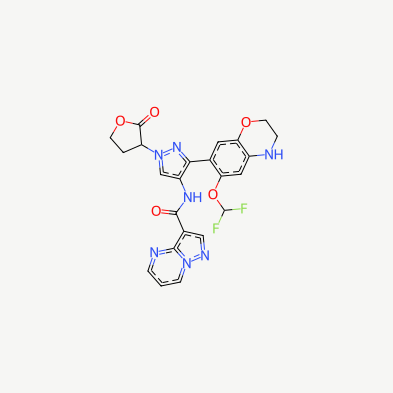 O=C(Nc1cn(C2CCOC2=O)nc1-c1cc2c(cc1OC(F)F)NCCO2)c1cnn2cccnc12